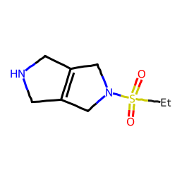 CCS(=O)(=O)N1CC2=C(CNC2)C1